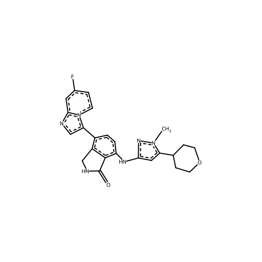 Cn1nc(Nc2ccc(-c3cnc4cc(F)ccn34)c3c2C(=O)NC3)cc1C1CCOCC1